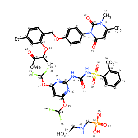 CCc1ccc(COc2ccc(-n3c(=O)cc(C(F)(F)F)n(C)c3=O)cc2)c(OC(C)C(=O)OC)c1.O=C(Nc1nc(OC(F)F)cc(OC(F)F)n1)NS(=O)(=O)c1ccccc1C(=O)O.O=C(O)CNCP(=O)(O)O